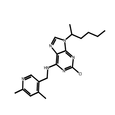 CCCCC(C)n1cnc2c(NCc3cnc(C)cc3C)nc(Cl)nc21